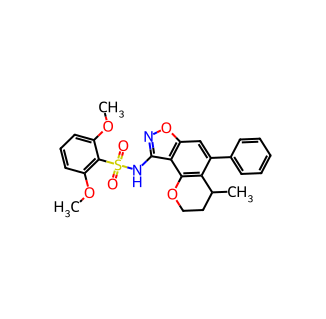 COc1cccc(OC)c1S(=O)(=O)Nc1noc2cc(-c3ccccc3)c3c(c12)OCCC3C